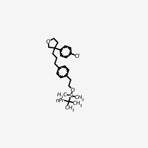 CCCC(C)(C)[Si](C)(C)OCCc1ccc(CCCC2(c3ccc(Cl)cc3)CCOC2)cc1